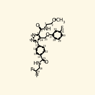 COCCNC(=O)c1nnn(-c2ccc(C(=O)NCC(F)F)cc2)c1COc1cccc(F)c1